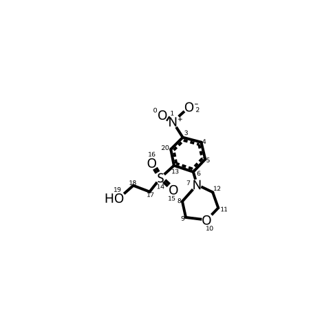 O=[N+]([O-])c1ccc(N2CCOCC2)c(S(=O)(=O)CCO)c1